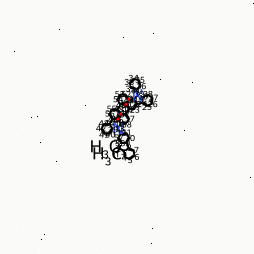 CC1(C)c2ccccc2-c2ccc(N(c3ccc(-c4ccc5c(c4)c4ccccc4n5-c4ccccc4)cc3)c3ccccc3-c3ccc(-c4ccccc4)cc3)cc21